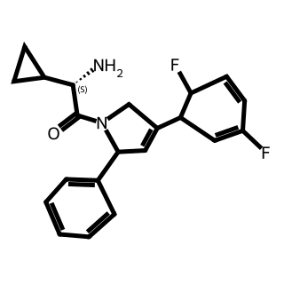 N[C@H](C(=O)N1CC(C2C=C(F)C=CC2F)=CC1c1ccccc1)C1CC1